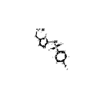 O=C(O)Cc1cnc(NS(=O)(=O)c2ccc(F)cc2)s1